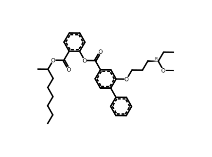 CCCCCCC(C)OC(=O)c1ccccc1OC(=O)c1ccc(-c2ccccc2)c(OCCC[C@@H](CC)OC)c1